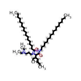 CCCCCCCCCCCCCCCCCCNC(=O)C(C(CC)CCCC)N(CCCN(CC)CC)C(=O)CCCCCCCCCCCCCCCCC